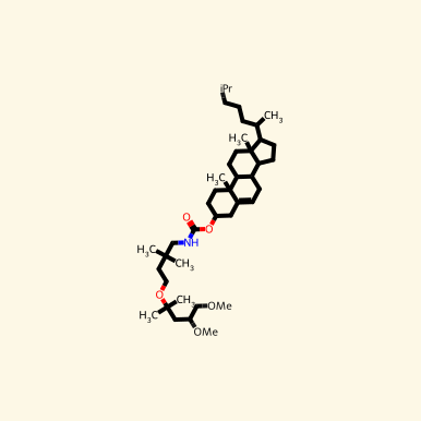 COCC(CC(C)(C)OCCC(C)(C)CNC(=O)OC1CCC2(C)C(=CCC3C2CCC2(C)C(C(C)CCCC(C)C)CCC32)C1)OC